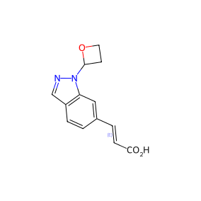 O=C(O)/C=C/c1ccc2cnn(C3CCO3)c2c1